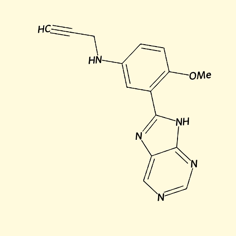 C#CCNc1ccc(OC)c(-c2nc3cncnc3[nH]2)c1